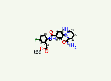 CC(C)(C)OC(=O)Cc1cc(F)ccc1NC(=O)c1ccc(N2CCCCC2C(N)=O)c(N)c1